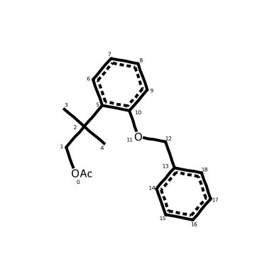 CC(=O)OCC(C)(C)c1ccccc1OCc1ccccc1